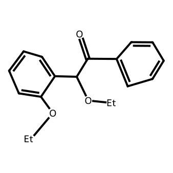 CCOc1ccccc1C(OCC)C(=O)c1ccccc1